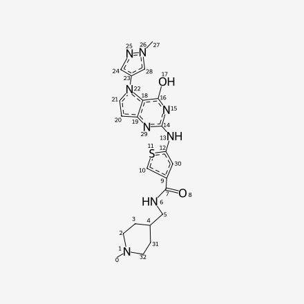 CN1CCC(CNC(=O)c2csc(Nc3nc(O)c4c(ccn4-c4cnn(C)c4)n3)c2)CC1